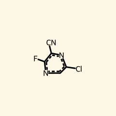 N#Cc1nc(Cl)cnc1F